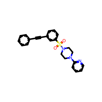 O=S(=O)(c1cccc(C#Cc2ccccc2)c1)N1CCN(c2ccccn2)CC1